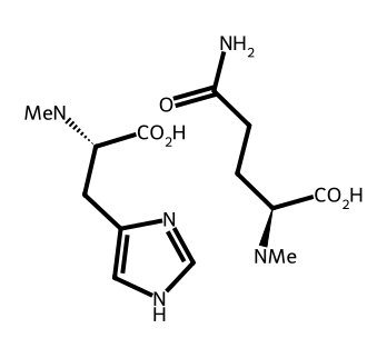 CN[C@@H](CCC(N)=O)C(=O)O.CN[C@@H](Cc1c[nH]cn1)C(=O)O